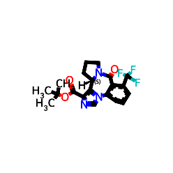 CC(C)(C)OC(=O)c1ncn2c1[C@@H]1CCCN1C(=O)c1c-2cccc1C(F)(F)F